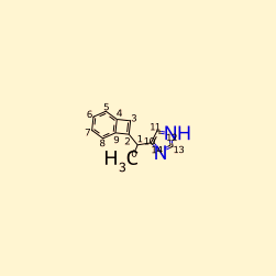 CC(C1=Cc2ccccc21)c1c[nH]cn1